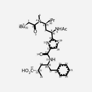 CC[C@H](C)CC(=O)N(C)[C@H](C[C@@H](NC(C)=O)c1nc(C(=O)N[C@@H](Cc2ccccc2)C[C@H](C)C(=O)O)cs1)C(C)C